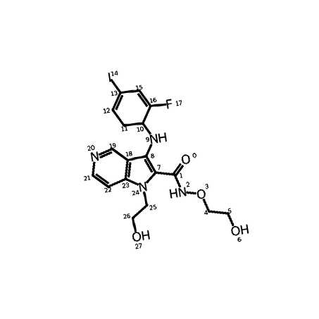 O=C(NOCCO)c1c(NC2CC=C(I)C=C2F)c2cnccc2n1CCO